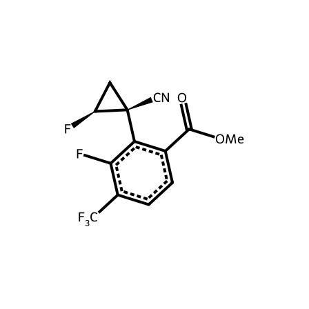 COC(=O)c1ccc(C(F)(F)F)c(F)c1[C@@]1(C#N)C[C@@H]1F